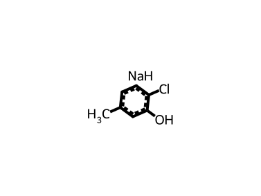 Cc1ccc(Cl)c(O)c1.[NaH]